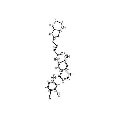 O=C(/C=C/CN1CC2OCCSC2C1)Nc1cc2c(Nc3ccc(F)c(Cl)c3)ncnc2cc1O